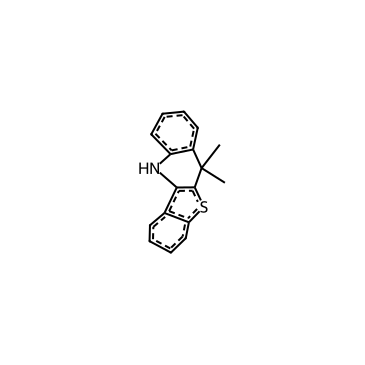 CC1(C)c2ccccc2Nc2c1sc1ccccc21